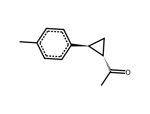 CC(=O)[C@H]1C[C@@H]1c1ccc(C)cc1